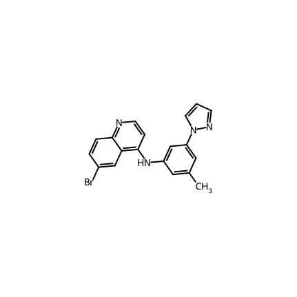 Cc1cc(Nc2ccnc3ccc(Br)cc23)cc(-n2cccn2)c1